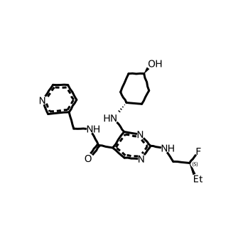 CC[C@H](F)CNc1ncc(C(=O)NCc2cccnc2)c(N[C@H]2CC[C@H](O)CC2)n1